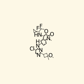 COC1(C)CC(c2ncc(Cl)c(Nc3ccc4c(c3)c3c(c(=O)n4C)OCC(F)(F)[C@H](C4CC4)N3)n2)C1